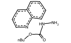 CCCCOC(=O)NN.c1ccc2ncccc2c1